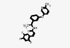 Cc1ccc(Oc2cccc([C@H](C)NC(=O)/C=C\c3cc(F)c(F)cc3F)c2)cn1